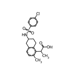 Cc1ccc2c(c1C(C)C(=O)O)CCC(NS(=O)(=O)c1ccc(Cl)cc1)C2